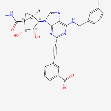 CNC(=O)[C@@]12C[C@H]1[C@@H](n1cnc3c(NCc4cccc(Cl)c4)nc(C#Cc4cccc(C(=O)O)c4)nc31)[C@H](O)[C@@H]2O